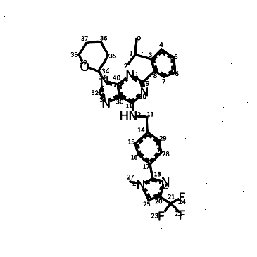 CC(C)c1ccccc1-c1nc(NCc2ccc(-c3nc(C(F)(F)F)cn3C)cc2)c2ncn(C3CCCCO3)c2n1